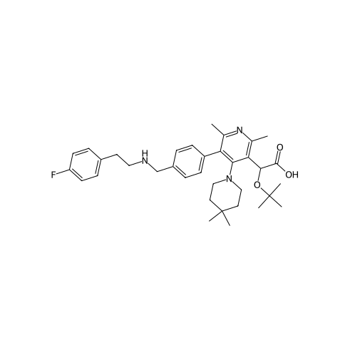 Cc1nc(C)c(C(OC(C)(C)C)C(=O)O)c(N2CCC(C)(C)CC2)c1-c1ccc(CNCCc2ccc(F)cc2)cc1